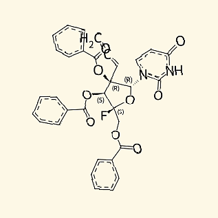 C=C=C[C@]1(OC(=O)c2ccccc2)[C@H](n2ccc(=O)[nH]c2=O)O[C@](F)(COC(=O)c2ccccc2)[C@H]1OC(=O)c1ccccc1